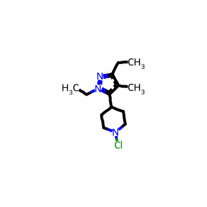 CCc1nn(CC)c(C2CCN(Cl)CC2)c1C